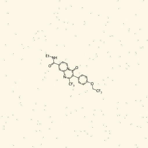 CCNC(=O)c1ccn2c(=O)c(-c3ccc(OCC(F)(F)F)cc3)c(C(F)(F)F)nc2c1